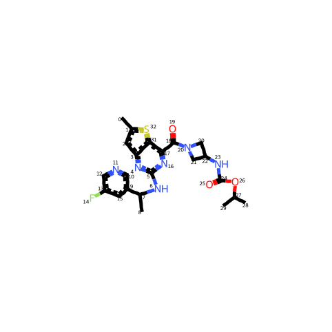 Cc1cc2nc(NC(C)c3cncc(F)c3)nc(C(=O)N3CC(NC(=O)OC(C)C)C3)c2s1